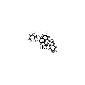 O=C1c2cccc3c(OC4CCCCC4)ccc(c23)C(O)N1C1C=CC=CC1